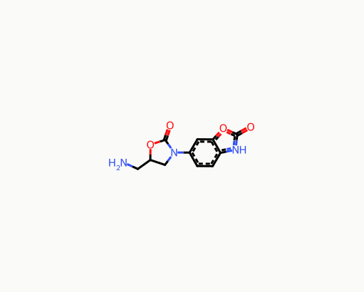 NCC1CN(c2ccc3[nH]c(=O)oc3c2)C(=O)O1